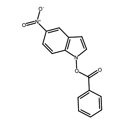 O=C(On1ccc2cc([N+](=O)[O-])ccc21)c1ccccc1